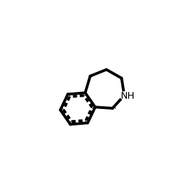 [CH]1NCCCc2ccccc21